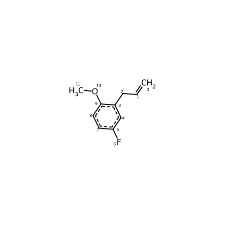 C=CCc1cc(F)ccc1OC